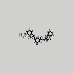 Cc1cccc(COc2cccc(OCc3cnc4ccccc4n3)c2)c1[O]